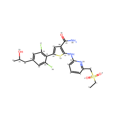 CCS(=O)(=O)Cc1cccc(Nc2sc(-c3c(F)cc(CC(C)O)cc3F)cc2C(N)=O)n1